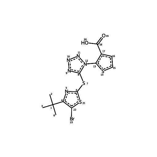 CC(C)(C)c1nc(Sc2nnnn2-c2sccc2C(=O)O)sc1Br